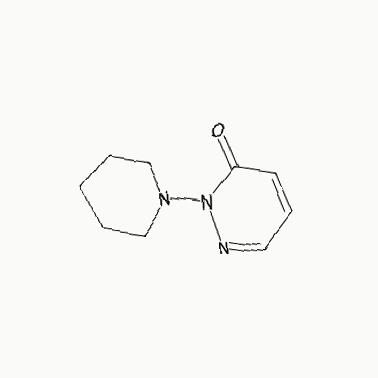 O=c1cccnn1N1CCCCC1